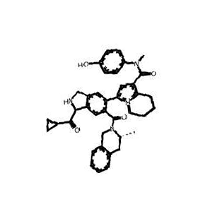 C[C@@H]1Cc2ccccc2CN1C(=O)c1cc2c(cc1-c1cc(C(=O)N(C)c3ccc(O)cc3)c3n1CCCC3)CNC2C(=O)C1CC1